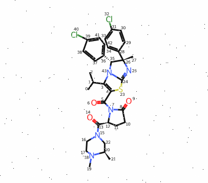 CC(C)C1=C(C(=O)N2C(=O)CC[C@H]2C(=O)N2CCN(C)[C@H](C)C2)SC2=N[C@@](C)(c3ccc(Cl)cc3)[C@@H](c3ccc(Cl)cc3)N21